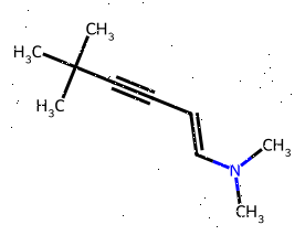 CN(C)C=CC#CC(C)(C)C